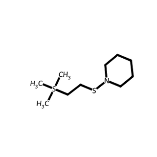 CS(C)(C)CCSN1CCCCC1